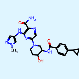 Cn1cc(Nc2nc(N3CCC(O)C(NC(=O)c4ccc(C5CC5)cc4)C3)cnc2C(N)=O)cn1